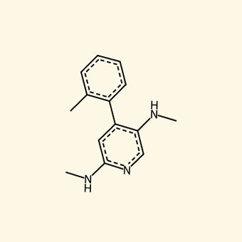 CNc1cc(-c2ccccc2C)c(NC)cn1